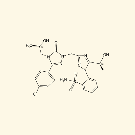 C[C@H](O)c1nc(Cn2nc(-c3ccc(Cl)cc3)n(C[C@H](O)C(F)(F)F)c2=O)nn1-c1ccccc1S(N)(=O)=O